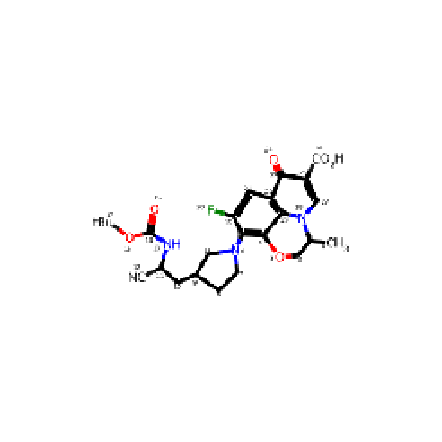 CC1COc2c(N3CCC(CC(C#N)NC(=O)OC(C)(C)C)C3)c(F)cc3c(=O)c(C(=O)O)cn1c23